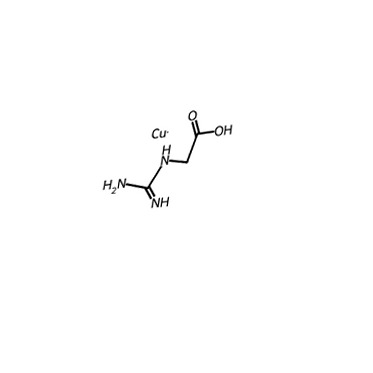 N=C(N)NCC(=O)O.[Cu]